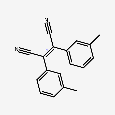 Cc1cccc(/C(C#N)=C(/C#N)c2cccc(C)c2)c1